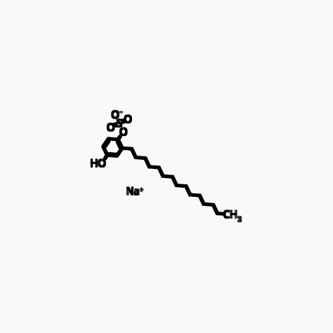 CCCCCCCCCCCCCCCc1cc(O)ccc1OS(=O)(=O)[O-].[Na+]